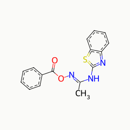 CC(=NOC(=O)c1ccccc1)Nc1nc2ccccc2s1